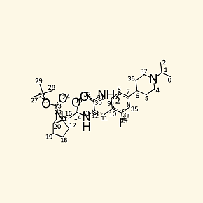 CC(C)N1CCC(c2ccc(C[C@H](NC(=O)C3C4CCC(C4)N3C(=O)OC(C)(C)C)C(N)=O)c(F)c2)CC1